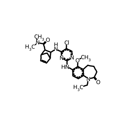 CCN1C(=O)CCCc2c1ccc(Nc1ncc(Cl)c(NC3C4C=CC(C4)C3C(=O)N(C)C)n1)c2OC